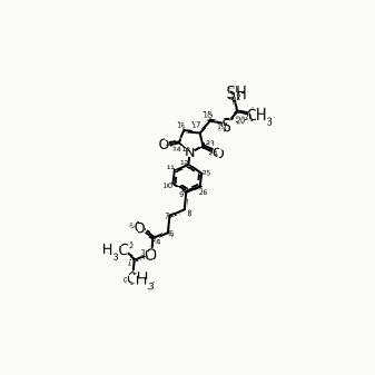 CC(C)OC(=O)CCCc1ccc(N2C(=O)CC(CSC(C)S)C2=O)cc1